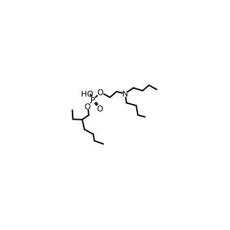 CCCCC(CC)COP(=O)(O)OCCN(CCCC)CCCC